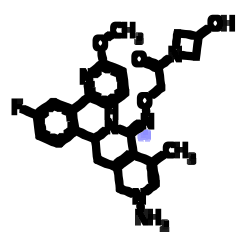 COc1cccc(-c2cc(F)ccc2C2CC3=C(C(C)=CN(N)C3)/C(=N/OCC(=O)N3CC(O)C3)N2)n1